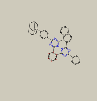 c1ccc(-c2nc(-c3ccccc3)nc(-c3ccc4ccccc4c3-c3nc(-c4ccccc4)nc(-c4ccc(C56CC7CC(CC(C7)C5)C6)cc4)n3)n2)cc1